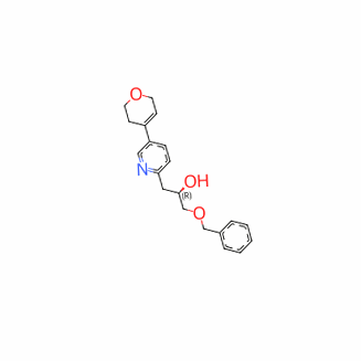 O[C@@H](COCc1ccccc1)Cc1ccc(C2=CCOCC2)cn1